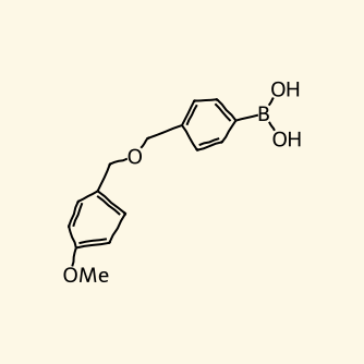 COc1ccc(COCc2ccc(B(O)O)cc2)cc1